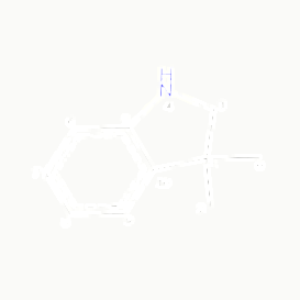 CC1(C)CNc2c[c]ccc21